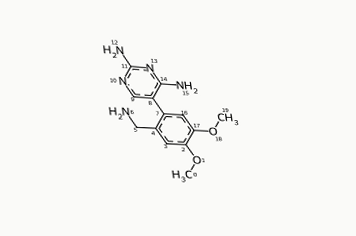 COc1cc(CN)c(-c2cnc(N)nc2N)cc1OC